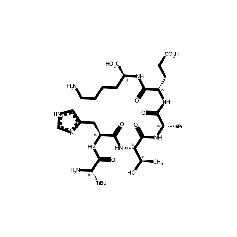 CCCC[C@H](N)C(=O)N[C@@H](Cc1c[nH]cn1)C(=O)N[C@H](C(=O)N[C@H](C(=O)N[C@@H](CCC(=O)O)C(=O)N[C@@H](CCCCN)C(=O)O)C(C)C)[C@@H](C)O